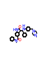 CN1CCN(Cc2ccc(N/C(=C3\C(=O)Nc4ccc(C(=O)N(C)c5ccccc5)cc43)c3ccccc3)cc2)CC1